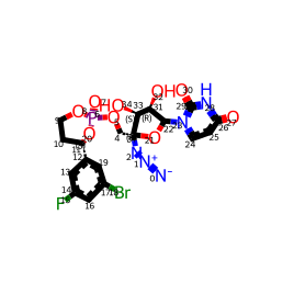 [N-]=[N+]=N[C@]1(COP2(=O)OCC[C@@H](c3cc(F)cc(Br)c3)O2)OC(n2ccc(=O)[nH]c2=O)[C@H](O)[C@@H]1O